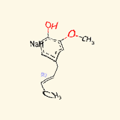 C/C=C/c1ccc(O)c(OC)c1.[NaH]